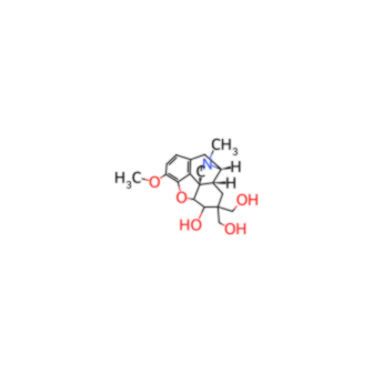 COc1ccc2c3c1OC1C(O)C(CO)(CO)C[C@H]4[C@@H](C2)N(C)CC[C@]314